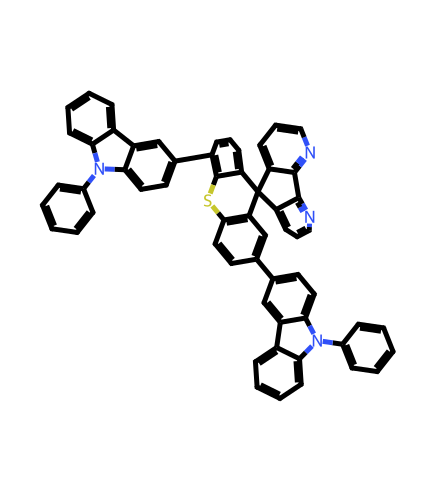 c1ccc(-n2c3ccccc3c3cc(-c4ccc5c(c4)C4(c6cccnc6-c6ncccc64)c4cccc(-c6ccc7c(c6)c6ccccc6n7-c6ccccc6)c4S5)ccc32)cc1